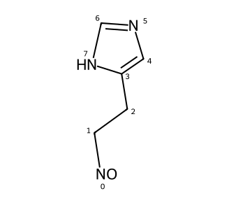 O=NCCc1cnc[nH]1